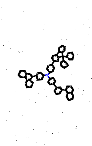 c1ccc(C2(c3ccccc3)c3ccccc3-c3ccc(-c4ccc(N(c5ccc(-c6cccc(-c7cccc8ccccc78)c6)cc5)c5ccc(-c6cc7ccccc7c7ccccc67)cc5)cc4)cc32)cc1